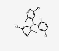 Cc1ccc(Cl)cc1P(c1cc(Cl)ccc1C)c1cc(Cl)ccc1C